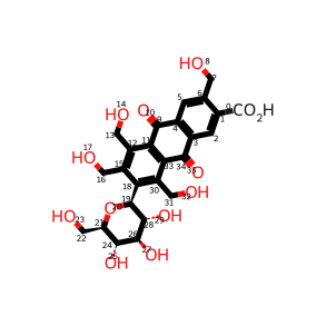 O=C(O)c1cc2c(cc1CO)C(=O)c1c(CO)c(CO)c([C@@H]3O[C@H](CO)[C@@H](O)[C@H](O)[C@H]3O)c(CO)c1C2=O